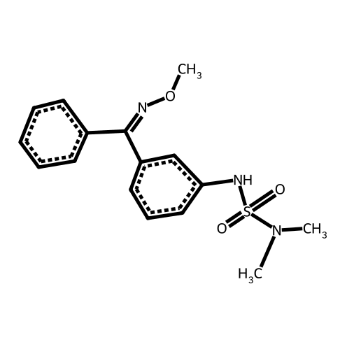 CON=C(c1ccccc1)c1cccc(NS(=O)(=O)N(C)C)c1